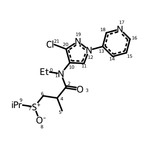 CCN(C(=O)C(C)C[S+]([O-])C(C)C)c1cn(-c2cccnc2)nc1Cl